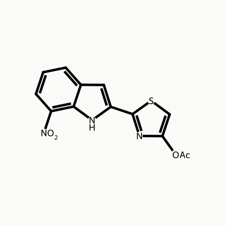 CC(=O)Oc1csc(-c2cc3cccc([N+](=O)[O-])c3[nH]2)n1